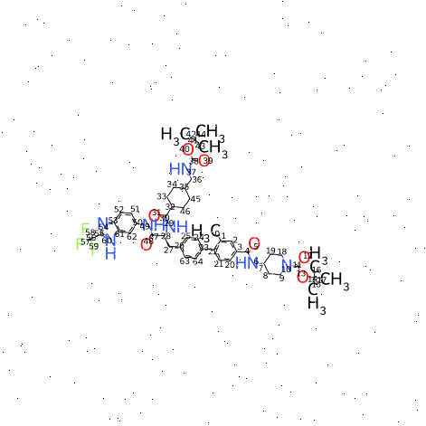 Cc1cc(C(=O)NC2CCN(C(=O)OC(C)(C)C)CC2)ccc1-c1ccc(C[C@H](NC(=O)C2CCC(CNC(=O)OC(C)(C)C)CC2)C(=O)Nc2ccc3nc(C(F)(F)F)[nH]c3c2)cc1